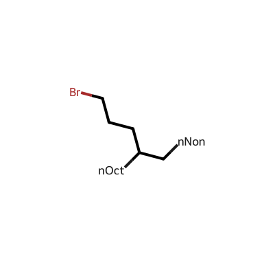 CCCCCCCCCCC(CCCBr)CCCCCCCC